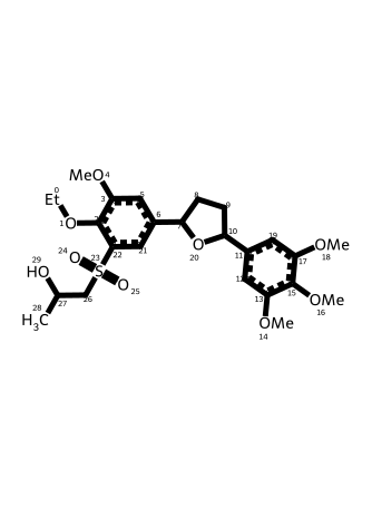 CCOc1c(OC)cc(C2CCC(c3cc(OC)c(OC)c(OC)c3)O2)cc1S(=O)(=O)CC(C)O